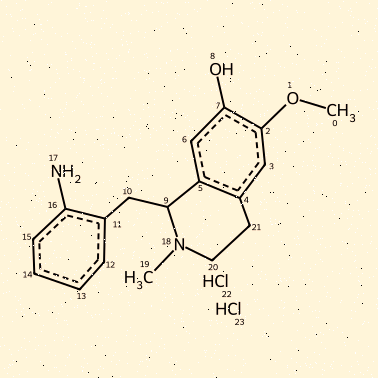 COc1cc2c(cc1O)C(Cc1ccccc1N)N(C)CC2.Cl.Cl